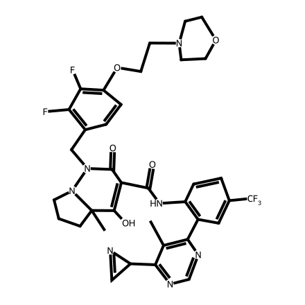 Cc1c(-c2cc(C(F)(F)F)ccc2NC(=O)C2=C(O)C3(C)CCCN3N(Cc3ccc(OCCN4CCOCC4)c(F)c3F)C2=O)ncnc1C1C=N1